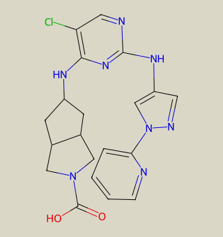 O=C(O)N1CC2CC(Nc3nc(Nc4cnn(-c5ccccn5)c4)ncc3Cl)CC2C1